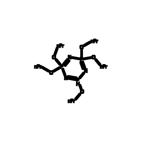 CCCO[PH]1=NP(OCCC)(OCCC)=NP(OCCC)(OCCC)=N1